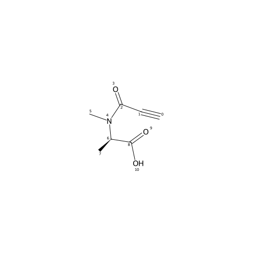 C#CC(=O)N(C)[C@H](C)C(=O)O